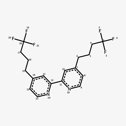 FC(F)(F)CCCc1ccnc(-c2cc(CCCC(F)(F)F)ccn2)c1